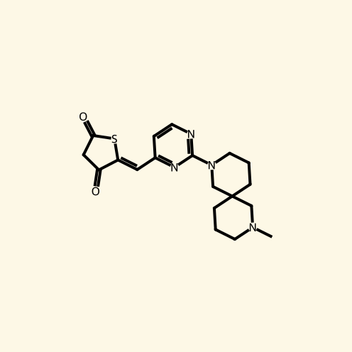 CN1CCCC2(CCCN(c3nccc(/C=C4\SC(=O)CC4=O)n3)C2)C1